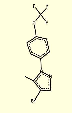 Cc1c(Br)cnn1-c1ccc(OC(F)(F)F)cc1